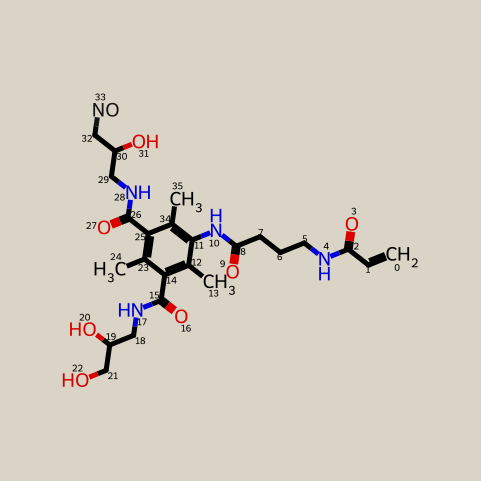 C=CC(=O)NCCCC(=O)Nc1c(C)c(C(=O)NCC(O)CO)c(C)c(C(=O)NCC(O)CN=O)c1C